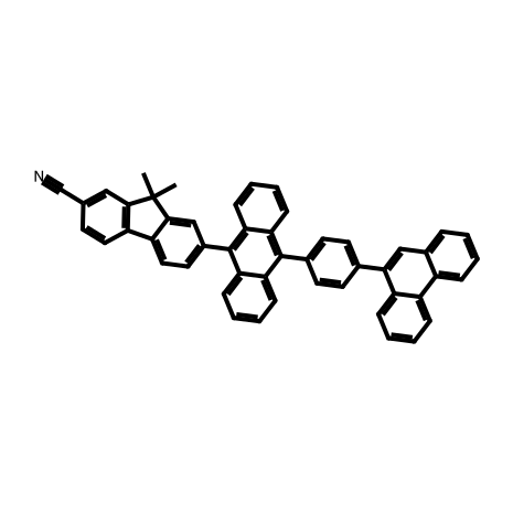 CC1(C)c2cc(C#N)ccc2-c2ccc(-c3c4ccccc4c(-c4ccc(-c5cc6ccccc6c6ccccc56)cc4)c4ccccc34)cc21